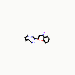 O/N=c1/cc(-c2cn3cccc3cn2)oc2ccccc12